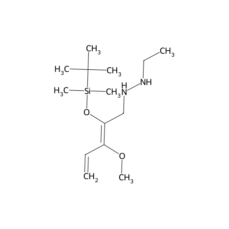 C=C/C(OC)=C(/CNNCC)O[Si](C)(C)C(C)(C)C